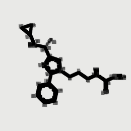 COC(=O)NCCCn1cc([C@@H](C)NC2CC2)nc1-c1ccccc1